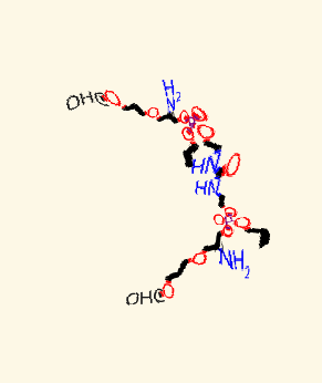 C=CCOP(=O)(OCCNC(=O)NCCOP(=O)(OCC=C)OC[C@H](N)COCCCOC=O)OC[C@H](N)COCCCOC=O